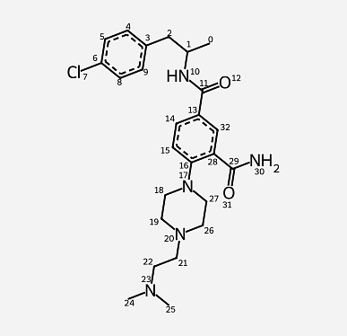 CC(Cc1ccc(Cl)cc1)NC(=O)c1ccc(N2CCN(CCN(C)C)CC2)c(C(N)=O)c1